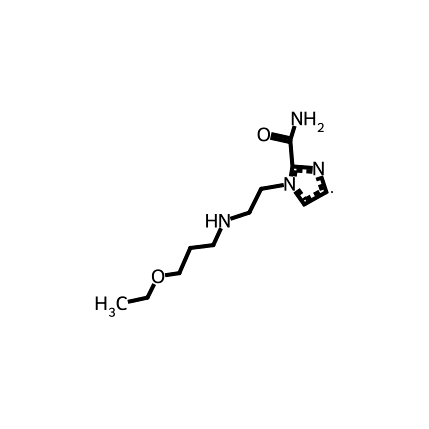 CCOCCCNCCn1c[c]nc1C(N)=O